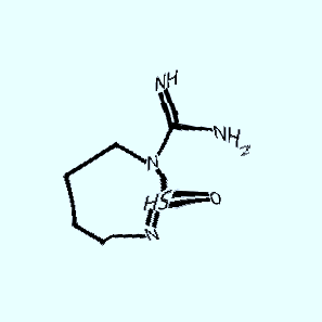 N=C(N)N1CCCCN=[SH]1=O